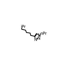 CCCn1cc(CCCCCC(C)C)nn1